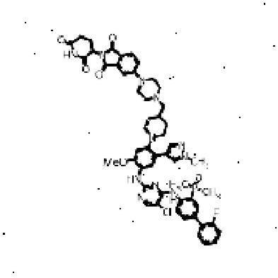 COc1cc(N2CCC(CN3CCN(c4ccc5c(c4)C(=O)N(C4CCC(=O)NC4=O)C5=O)CC3)CC2)c(-c2cnn(C)c2)cc1Nc1ncc(Cl)c(Nc2ccc(-c3ccccc3F)cc2P(C)(C)=O)n1